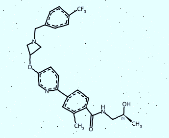 Cc1cc(-c2ccc(OC3CN(Cc4ccc(C(F)(F)F)cc4)C3)cn2)ccc1C(=O)NC[C@H](C)O